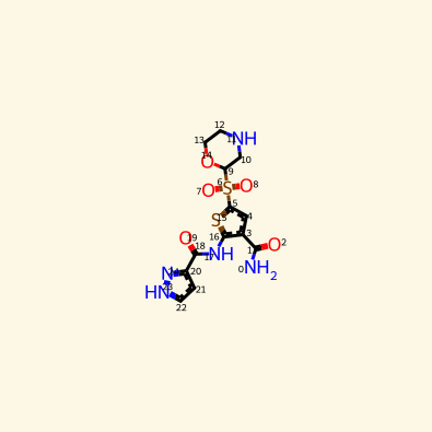 NC(=O)c1cc(S(=O)(=O)C2CNCCO2)sc1NC(=O)c1cc[nH]n1